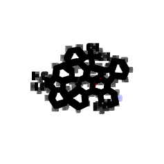 C/C=C\c1c(C)c(-c2ccccc2N(c2cccc3c2-c2ccccc2C3(C)C)c2cccc3c2-c2ccccc2C3(C)C)cc2sc3ccccc3c12